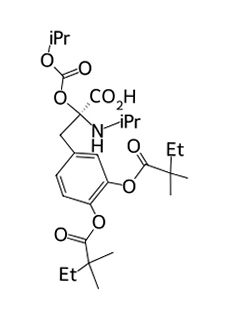 CCC(C)(C)C(=O)Oc1ccc(C[C@](NC(C)C)(OC(=O)OC(C)C)C(=O)O)cc1OC(=O)C(C)(C)CC